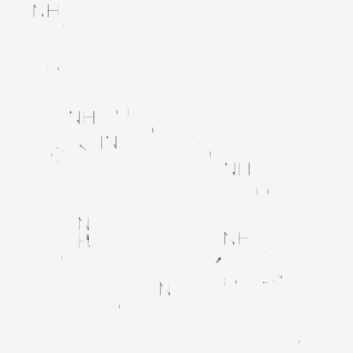 NCCOCCNC(=O)[C@@H]1CCNC(=O)/C=C/C(=O)N2CCC[C@](Cc3ccccc3)(C2)C(=O)N[C@@H](Cc2ccc(-c3ccoc3)cc2)C(=O)NCc2ccccc2CC(=O)N1